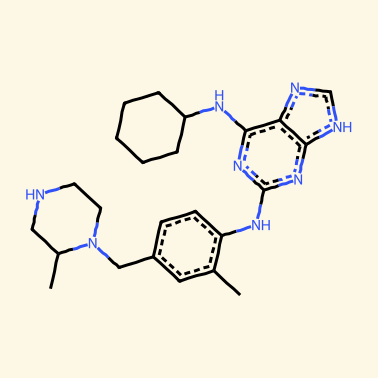 Cc1cc(CN2CCNCC2C)ccc1Nc1nc(NC2CCCCC2)c2nc[nH]c2n1